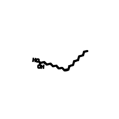 CCCCCCCC/C=C\CCCCCCCC(O)O